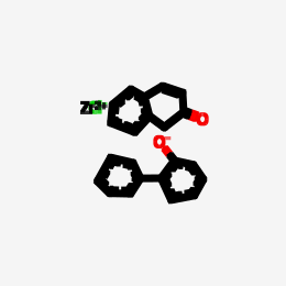 O=C1C=Cc2ccccc2C1.[Cl-].[O-]c1ccccc1-c1ccccc1.[Zr+2]